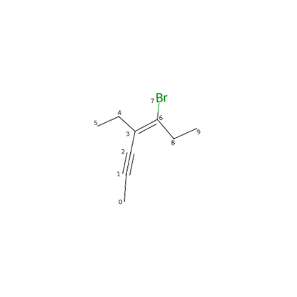 CC#C/C(CC)=C(/Br)CC